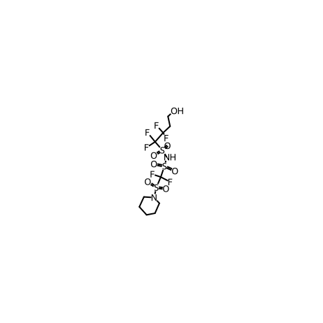 O=S(=O)(NS(=O)(=O)C(F)(F)S(=O)(=O)N1CCCCC1)C(F)(F)C(F)(F)CCO